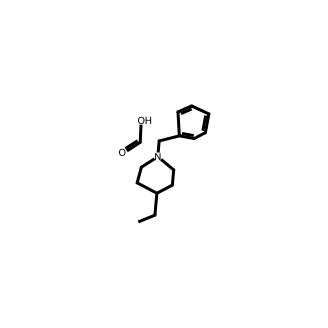 CCC1CCN(Cc2ccccc2)CC1.O=CO